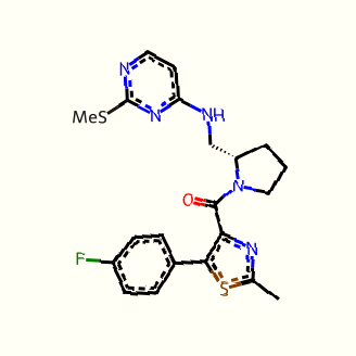 CSc1nccc(NC[C@@H]2CCCN2C(=O)c2nc(C)sc2-c2ccc(F)cc2)n1